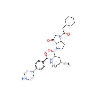 CC(C)CC(NC(=O)c1ccc(N2CCNCC2)cc1)C(=O)N1CCC2C1C(=O)CN2C(=O)CC1CCCCC1